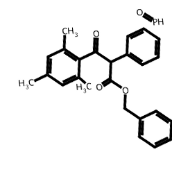 Cc1cc(C)c(C(=O)C(C(=O)OCc2ccccc2)c2ccccc2)c(C)c1.O=P